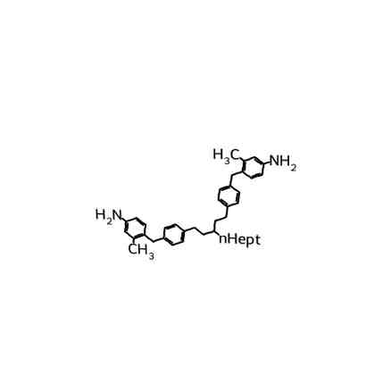 CCCCCCCC(CCc1ccc(Cc2ccc(N)cc2C)cc1)CCc1ccc(Cc2ccc(N)cc2C)cc1